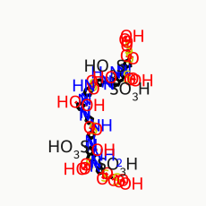 Nc1c(N=Nc2ccc(S(=O)(=O)CCSOOOO)cc2S(=O)(=O)O)c(SOOO)cc2cc(S(=O)(=O)O)c(/N=N/c3ccc(S(=O)(=O)Nc4ccc(N=Nc5c(O)ccc(N=Nc6ccc(NS(=O)(=O)c7ccc(/N=N/c8c(S(=O)(=O)O)cc9cc(SOOO)c(/N=N/c%10ccc(S(=O)(=O)CCOSOOO)cc%10S(=O)(=O)O)c(N)c9c8O)cc7)cc6)c5O)cc4)cc3)c(O)c12